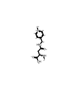 O=C(CC(NI)C(=O)O)NCc1cc[n+](I)cc1